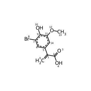 C=C(C(=O)O)c1cc(Br)c(O)c(OC)c1